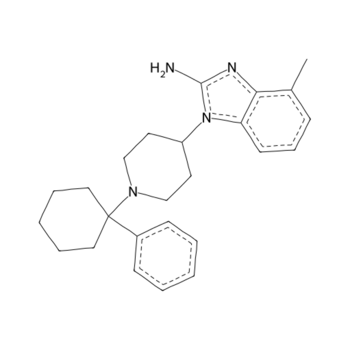 Cc1cccc2c1nc(N)n2C1CCN(C2(c3ccccc3)CCCCC2)CC1